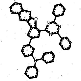 c1ccc(-c2nc(-c3ccccc3)nc(-c3cc(-c4cccc(N(c5ccccc5)c5ccccc5)c4)cc4c3oc3cc5ccccc5cc34)n2)cc1